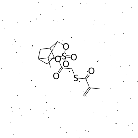 C=C(C)C(=O)SCC(=O)OC1(C)C2CC3C1OS(=O)(=O)C3C2